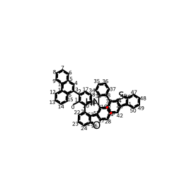 Cc1c(-c2cc3ccccc3c3ccccc23)cccc1-c1cccc2oc3cccc(Nc4ccccc4-c4cccc5c4sc4ccccc45)c3c12